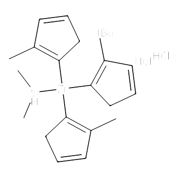 CC1=[C]([Zr]([C]2=C(C)C=CC2)([C]2=C(C(C)(C)C)C=CC2)[SiH](C)C)CC=C1.Cl.Cl